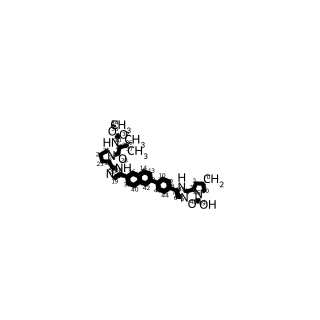 C=C1CC(c2ncc(-c3ccc(-c4ccc5cc(-c6cnc(C7CCCN7C(=O)C(NC(=O)OC)C(C)C)[nH]6)ccc5c4)cc3)[nH]2)N(C(=O)O)C1